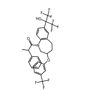 CC(C(=O)N1CC(Oc2cccc(C(F)(F)F)c2)CCc2cc(C(O)(C(F)(F)F)C(F)(F)F)ccc21)c1ccccc1